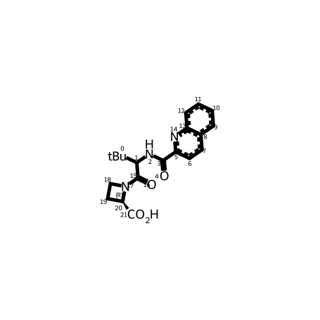 CC(C)(C)C(NC(=O)c1ccc2ccccc2n1)C(=O)N1CC[C@@H]1C(=O)O